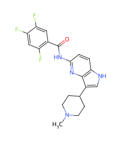 CN1CCC(c2c[nH]c3ccc(NC(=O)c4cc(F)c(F)cc4F)nc23)CC1